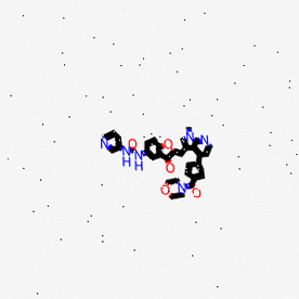 Cn1cc(/C=C2\Oc3ccc(NC(=O)Nc4cccnc4)cc3C2=O)c2c(-c3ccc(C(=O)N4CCOCC4)cc3)ccnc21